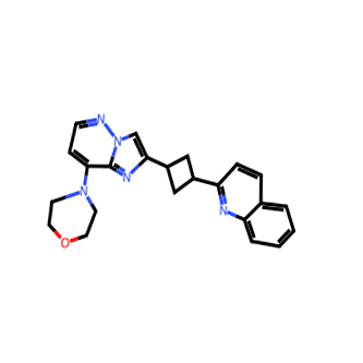 c1ccc2nc(C3CC(c4cn5nccc(N6CCOCC6)c5n4)C3)ccc2c1